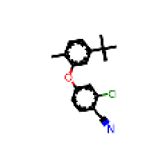 Cc1ccc(C(C)(C)C)cc1Oc1ccc(C#N)c(Cl)c1